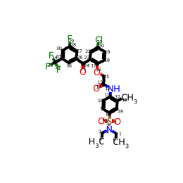 CCN(CC)S(=O)(=O)c1ccc(NC(=O)COc2ccc(Cl)cc2C(=O)c2cc(F)cc(C(F)(F)F)c2)c(C)c1